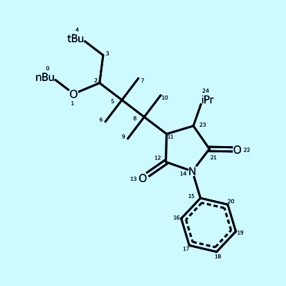 CCCCOC(CC(C)(C)C)C(C)(C)C(C)(C)C1C(=O)N(c2ccccc2)C(=O)C1C(C)C